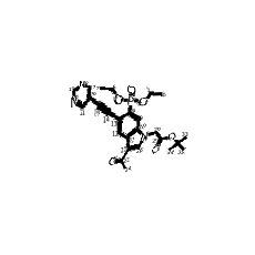 CCOP(=O)(OCC)c1cc2c(cc1C#Cc1cncnc1)c(C(C)=O)cn2CC(=O)OC(C)(C)C